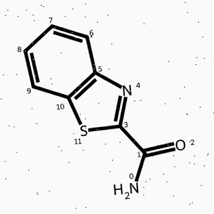 NC(=O)c1nc2[c]cccc2s1